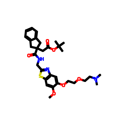 COc1cc2sc(CNC(=O)C3(CC(=O)OC(C)(C)C)Cc4ccccc4C3)nc2cc1OCCOCCN(C)C